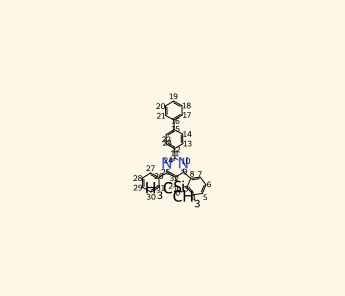 C[Si]1(C)c2ccccc2-c2nc(-c3ccc(-c4ccccc4)cc3)nc(-c3ccccc3)c21